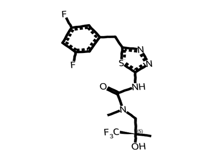 CN(C[C@](C)(O)C(F)(F)F)C(=O)Nc1nnc(Cc2cc(F)cc(F)c2)s1